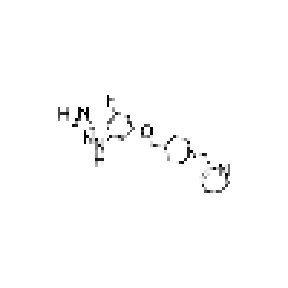 Nc1n[nH]c2cc(OCC3CCN(Cc4ccccn4)CC3)cc(F)c12